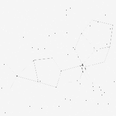 NN1CC2CCC(C1)N2C(=O)C1CC2C(C1)C2(F)F